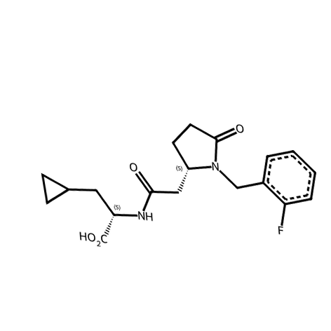 O=C(C[C@@H]1CCC(=O)N1Cc1ccccc1F)N[C@@H](CC1CC1)C(=O)O